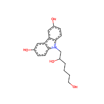 OCCCCC(O)Cn1c2ccc(O)cc2c2cc(O)ccc21